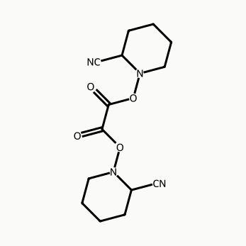 N#CC1CCCCN1OC(=O)C(=O)ON1CCCCC1C#N